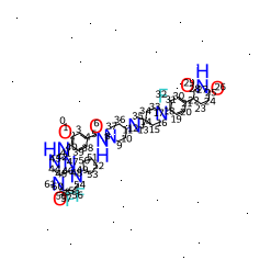 COc1cc(C(=O)NN2CCC(N3CC4(CCN(c5ccc(C6CCC(=O)NC6=O)cc5F)CC4)C3)CC2)ccc1Nc1ncc2c(n1)N(C1CCCC1)CC(F)(F)C(=O)N2C